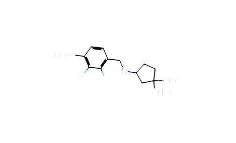 CCCCCCCCCCc1ccc(CNC2CCC(C=O)(C=O)C2)c(F)c1F